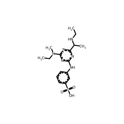 CCNC(C)c1nc(Nc2cccc(S(=O)(=O)O)c2)nc(N(C)CC)n1